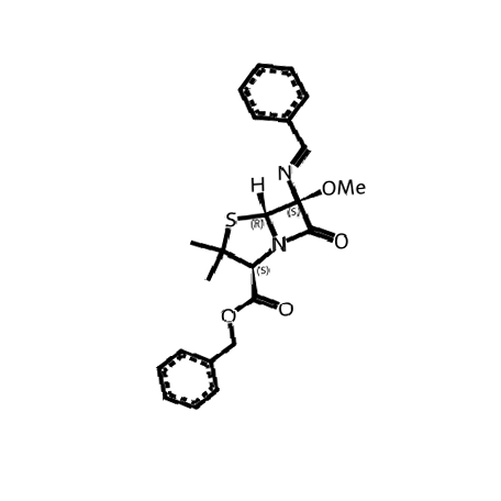 CO[C@@]1(N=Cc2ccccc2)C(=O)N2[C@@H](C(=O)OCc3ccccc3)C(C)(C)S[C@@H]21